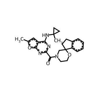 Cc1cc2c(NC3(C)CC3)nc(C(=O)N3CCOC4(CCc5ccccc54)C3)nc2o1